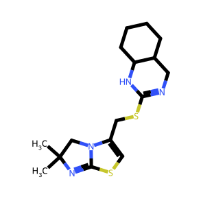 CC1(C)CN2C(CSC3=NCC4CCCCC4N3)=CSC2=N1